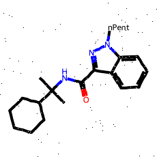 CCCCCn1nc(C(=O)NC(C)(C)C2CCCCC2)c2ccccc21